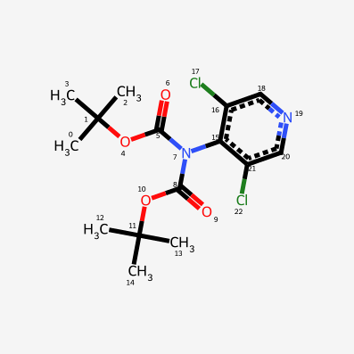 CC(C)(C)OC(=O)N(C(=O)OC(C)(C)C)c1c(Cl)cncc1Cl